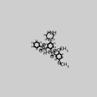 COc1ccc(OC)c(S(=O)(=O)Nc2ccc(N3CCCNCC3)cc2NS(=O)(=O)c2ccccc2)c1